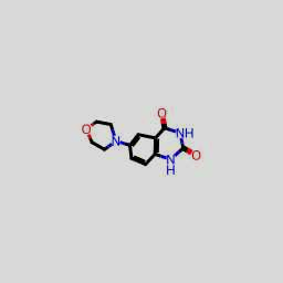 O=c1[nH]c(=O)c2cc(N3CCOCC3)ccc2[nH]1